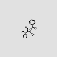 CC[Si](CC)(CC)C1C(=O)N(C(=O)c2ccccc2)C1C1CC1